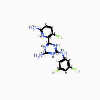 Nc1ccc(F)c(-c2nc(N)nc(Nc3cc(F)cc(F)c3)n2)n1